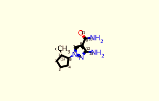 C[C@H]1CCC[C@@H]1n1cc(C(N)=O)c(N)n1